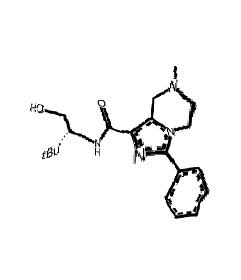 CN1CCn2c(-c3ccccc3)nc(C(=O)N[C@@H](CO)C(C)(C)C)c2C1